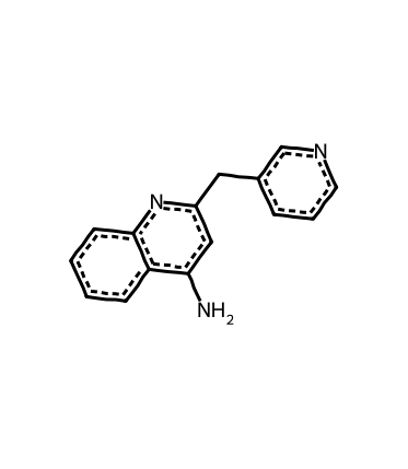 Nc1cc(Cc2cccnc2)nc2ccccc12